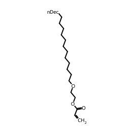 C=CC(=O)OCCOCCCCCCCCCCCCCCCCCCCCCC